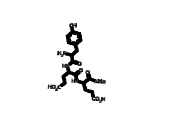 CNC(=O)C(CCC(=O)O)NC(=O)C(CCC(=O)O)NC(=O)C(N)Cc1ccc(O)cc1